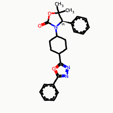 CC1(C)OC(=O)N(C2CCC(c3nnc(-c4ccccc4)o3)CC2)[C@@H]1c1ccccc1